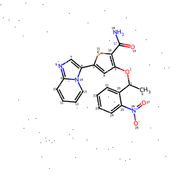 CC(Oc1cc(-c2cnc3ccccn23)sc1C(N)=O)c1ccccc1[N+](=O)[O-]